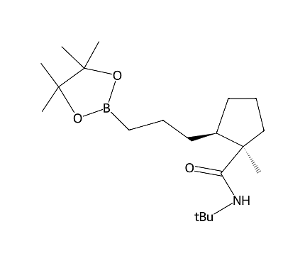 CC(C)(C)NC(=O)[C@]1(C)CCC[C@@H]1CCCB1OC(C)(C)C(C)(C)O1